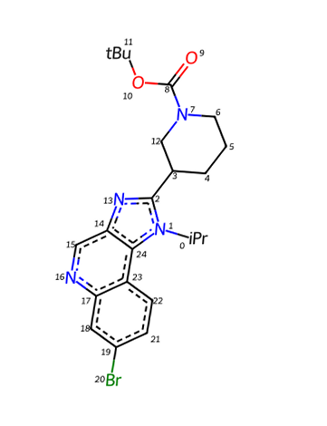 CC(C)n1c(C2CCCN(C(=O)OC(C)(C)C)C2)nc2cnc3cc(Br)ccc3c21